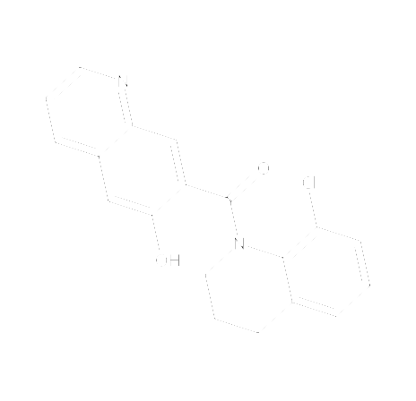 O=C(c1cc2ncccc2cc1O)N1CCCc2cccc(Cl)c21